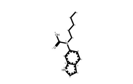 CCCCCN(C(=O)O)c1ccc2cc[nH]c2c1